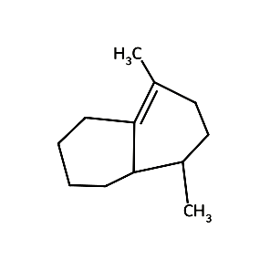 CC1=C2CCCCC2C(C)CC1